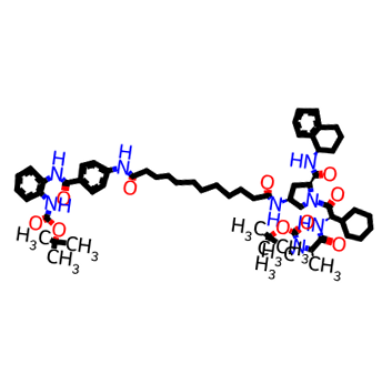 C[C@@H](C(=O)N[C@H](C(=O)N1C[C@@H](NC(=O)CCCCCCCCCCC(=O)Nc2ccc(C(=O)Nc3ccccc3NC(=O)OC(C)(C)C)cc2)C[C@H]1C(=O)N[C@@H]1CCCc2ccccc21)C1CCCCC1)N(C)C(=O)OC(C)(C)C